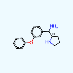 NC(c1cccc(Oc2ccccc2)c1)[C@H]1CCCN1